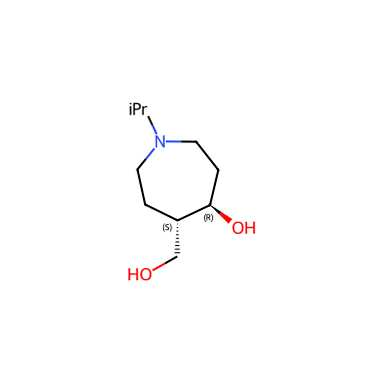 CC(C)N1CC[C@@H](CO)[C@H](O)CC1